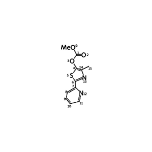 COC(=O)Oc1sc(-c2ccccn2)nc1C